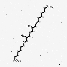 CCCCCCCCCCCCCCCCOCC(O)CSCC(O)COCCCCCCCCCCCCCCCC